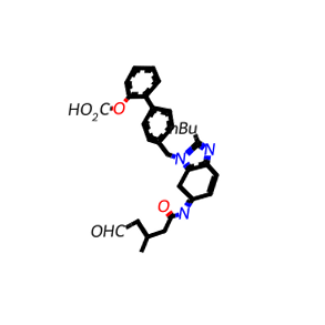 CCCCc1nc2c(n1Cc1ccc(-c3ccccc3OC(=O)O)cc1)CC(=NC(=O)CC(C)CC=O)C=C2